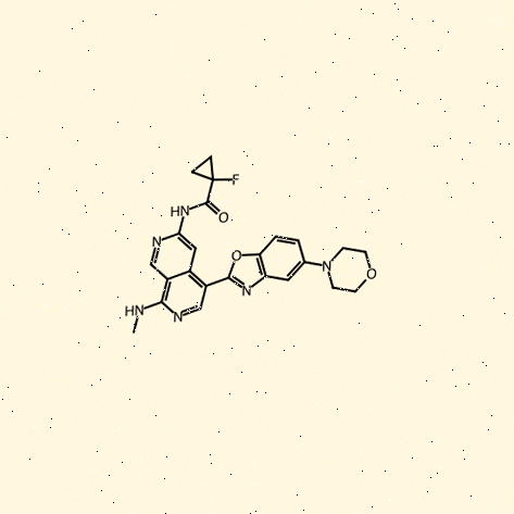 CNc1ncc(-c2nc3cc(N4CCOCC4)ccc3o2)c2cc(NC(=O)C3(F)CC3)ncc12